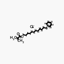 C=C(C)C(=O)OCCCCCCCCCCCC[n+]1ccccc1.[Cl-]